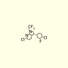 Fc1cc(-c2cn(CC(F)(F)F)c3nc(Cl)ccc23)ccc1Cl